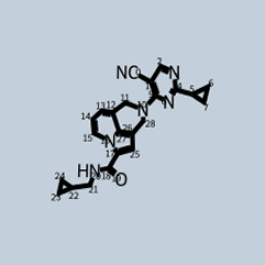 N#Cc1cnc(C2CC2)nc1N1Cc2cccn3c(C(=O)NCC4CC4)cc(c23)C1